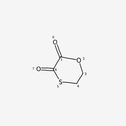 O=C1OCCSC1=O